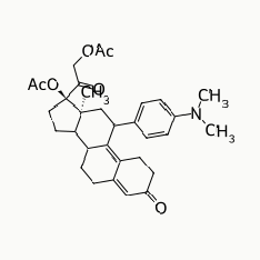 CC(=O)OCC(=O)[C@@]1(OC(C)=O)CCC2C3CCC4=CC(=O)CCC4=C3C(c3ccc(N(C)C)cc3)C[C@@]21C